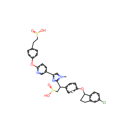 Cn1cc(-c2ccc(Oc3ccc(CCS(=O)O)cc3)nc2)nc1C(CS(=O)O)c1ccc(OC2CCc3cc(Cl)ccc32)cc1